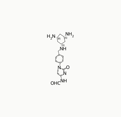 N[C@@H]1C[C@H](N)C[C@H](NCc2ccc(-n3ccc(NC=O)nc3=O)cc2)C1